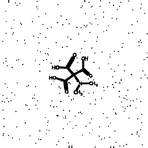 CN(C)C(C(=O)O)(C(=O)O)C(=O)O